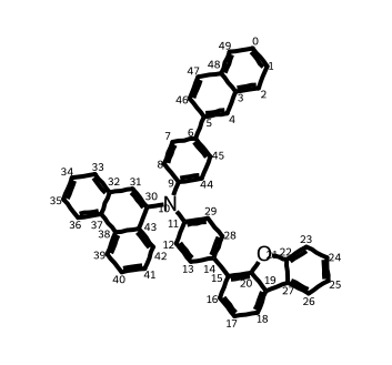 c1ccc2cc(-c3ccc(N(c4ccc(-c5cccc6c5oc5ccccc56)cc4)c4cc5ccccc5c5ccccc45)cc3)ccc2c1